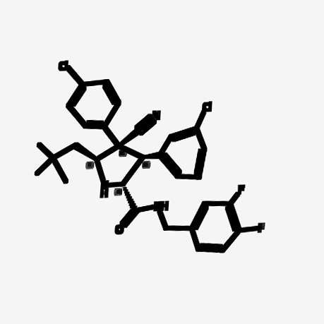 CC(C)(C)C[C@@H]1N[C@@H](C(=O)NCc2ccc(F)c(F)c2)[C@H](c2cccc(Cl)c2)[C@@]1(C#N)c1ccc(Cl)cc1